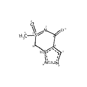 CS1(=O)=NC(=O)c2cnnn2C1